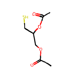 CC(=O)OCC(CS)OC(C)=O